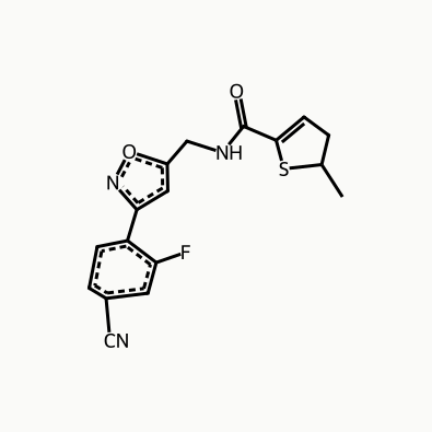 CC1CC=C(C(=O)NCc2cc(-c3ccc(C#N)cc3F)no2)S1